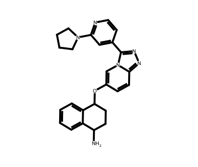 NC1CCC(Oc2ccc3nnc(-c4ccnc(N5CCCC5)c4)n3c2)c2ccccc21